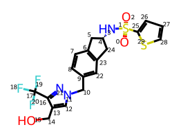 O=S(=O)(N[C@H]1Cc2ccc(Cn3cc(CO)c(C(F)(F)F)n3)cc2C1)c1cccs1